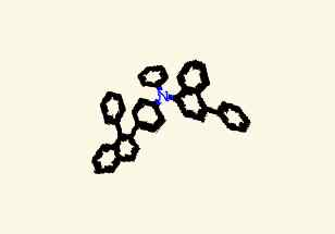 C1=CC(N(c2ccccc2)c2ccc(-c3ccccc3)c3ccccc23)CC=C1c1ccc2ccccc2c1-c1ccccc1